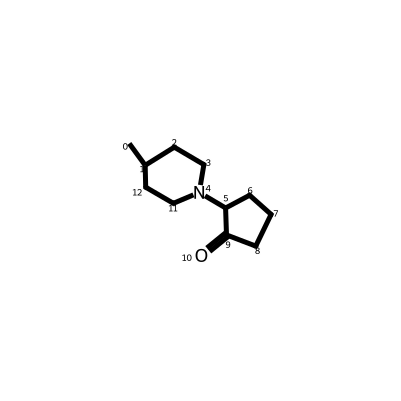 CC1CCN(C2CCCC2=O)CC1